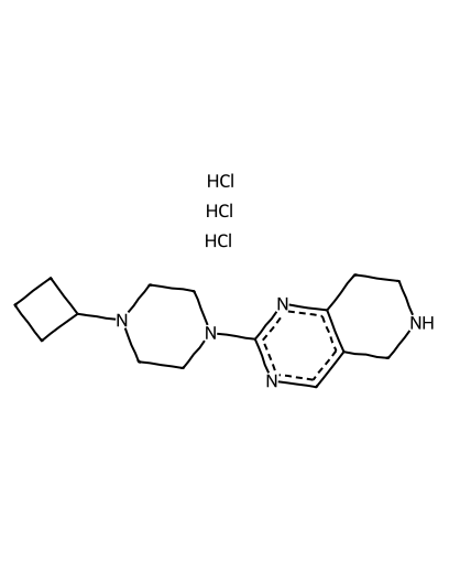 Cl.Cl.Cl.c1nc(N2CCN(C3CCC3)CC2)nc2c1CNCC2